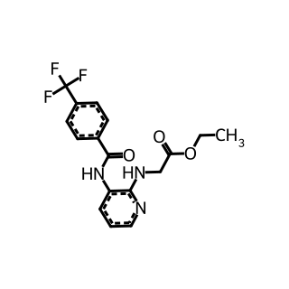 CCOC(=O)CNc1ncccc1NC(=O)c1ccc(C(F)(F)F)cc1